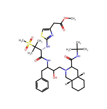 COC(=O)Cc1csc(N[C@H](C(=O)NC(Cc2ccccc2)C(O)CN2C[C@H]3CCCC[C@H]3CC2C(=O)NC(C)(C)C)C(C)(C)S(C)(=O)=O)n1